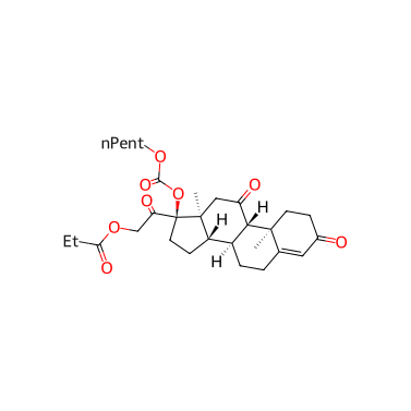 CCCCCOC(=O)O[C@]1(C(=O)COC(=O)CC)CC[C@H]2[C@@H]3CCC4=CC(=O)CC[C@]4(C)[C@H]3C(=O)C[C@@]21C